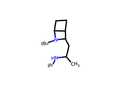 CC(C)NC(C)CC1C2CCC2N1C(C)(C)C